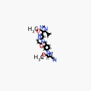 COc1ncnc(C2CC2)c1-c1cc2n(n1)CCC(=O)N2Cc1ccc(-n2nc(C#N)cc2OC)cc1